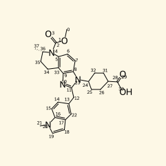 COC(=O)N1c2ccc3c(nc(Cc4ccc5c(ccn5C)c4)n3C3CCC(C(=O)O)CC3)c2CC[C@@H]1C